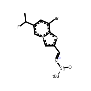 CC(F)c1cc(Br)c2nc(/C=N/[S@+]([O-])C(C)(C)C)cn2c1